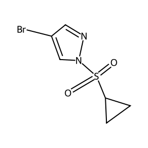 O=S(=O)(C1CC1)n1cc(Br)cn1